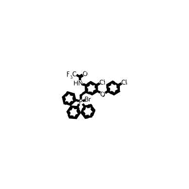 O=C(Nc1cc(Cl)c(Oc2ccc(Cl)cc2)cc1CP(Br)(c1ccccc1)(c1ccccc1)c1ccccc1)C(F)(F)F